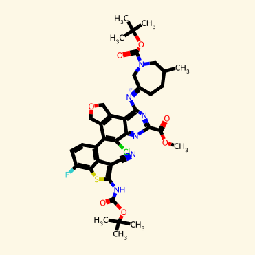 COC(=O)c1nc(/N=C2\CCC(C)CN(C(=O)OC(C)(C)C)C2)c2c3c(c(-c4ccc(F)c5sc(NC(=O)OC(C)(C)C)c(C#N)c45)c(Cl)c2n1)COC3